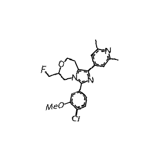 COc1cc(-c2nc(-c3cc(C)nc(C)c3)c3n2CC(CF)OCC3)ccc1Cl